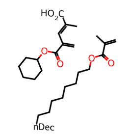 C=C(C)C(=O)OCCCCCCCCCCCCCCCCCC.C=C(C=C(C)C(=O)O)C(=O)OC1CCCCC1